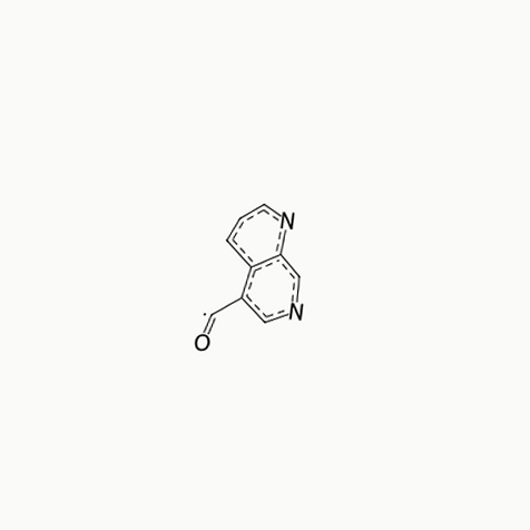 O=[C]c1cncc2ncccc12